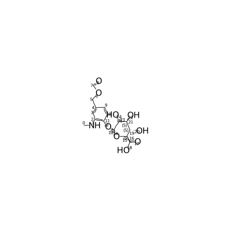 CNc1cc(COC=O)ccc1O[C@@H]1O[C@H](C(=O)O)[C@@H](O)[C@H](O)[C@H]1O